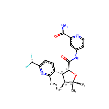 COc1nc(C(F)F)ccc1[C@@H]1[C@@H](C(=O)Nc2ccnc(C(N)=O)c2)O[C@@](C)(C(F)(F)F)[C@H]1C